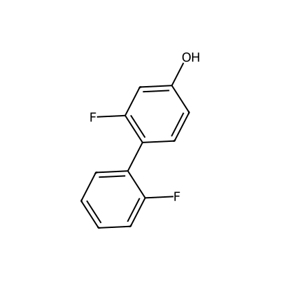 Oc1ccc(-c2ccccc2F)c(F)c1